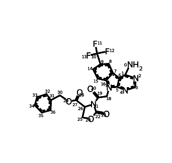 Nc1ncnc2c1c1cc(C(F)(F)F)ccc1n2CC(=O)N1C(=O)OCC1C(=O)OCc1ccccc1